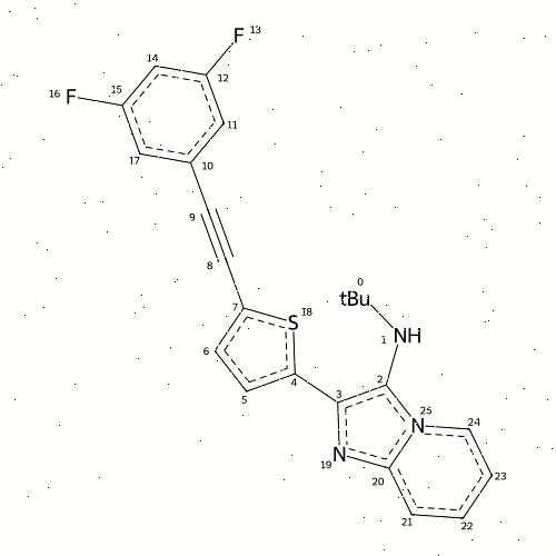 CC(C)(C)Nc1c(-c2ccc(C#Cc3cc(F)cc(F)c3)s2)nc2ccccn12